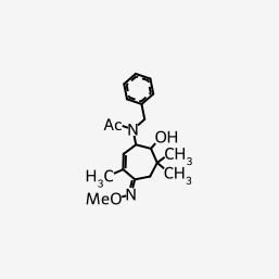 CON=C1CC(C)(C)C(O)C(N(Cc2ccccc2)C(C)=O)C=C1C